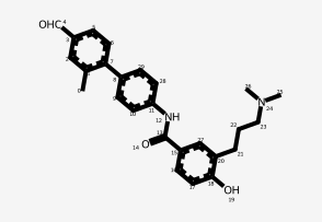 Cc1cc(C=O)ccc1-c1ccc(NC(=O)c2ccc(O)c(CCCN(C)C)c2)cc1